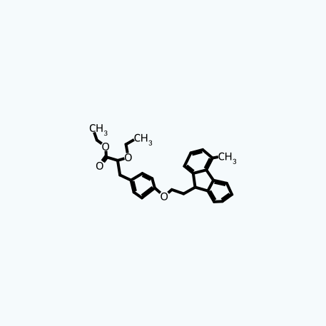 CCOC(=O)C(Cc1ccc(OCCC2c3ccccc3-c3c(C)cccc32)cc1)OCC